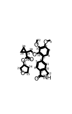 COc1ccc(-c2ccc3c(c2)CNC3=O)c(OCC2(C(=O)O[C@H]3CCOC3)CC2)c1OC